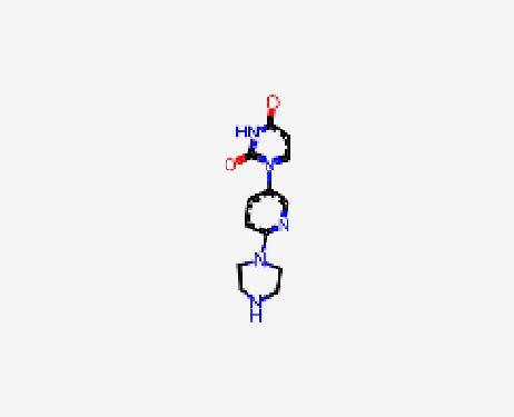 O=c1ccn(-c2ccc(N3CCNCC3)nc2)c(=O)[nH]1